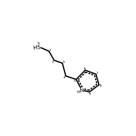 SCCCCc1ccccn1